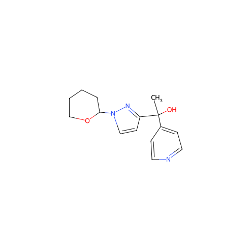 CC(O)(c1ccncc1)c1ccn(C2CCCCO2)n1